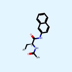 CCCC(=O)N[C@@H](CC(C)C)C(=O)Nc1ccc2ccccc2c1